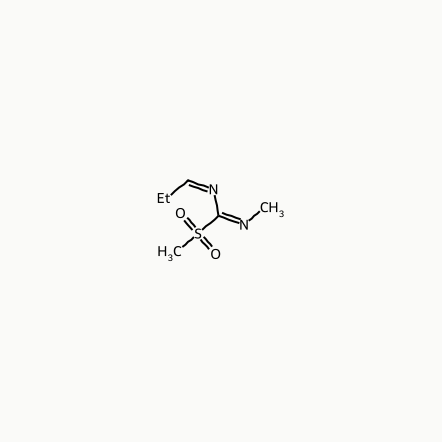 CC/C=N\C(=N/C)S(C)(=O)=O